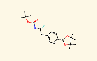 CC(C)(C)OC(=O)NC(F)Cc1ccc(B2OC(C)(C)C(C)(C)O2)cc1